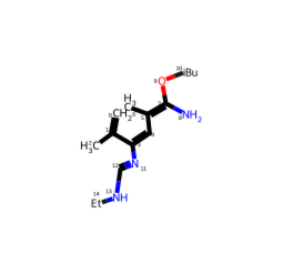 C=C(C)C(=C\C(C)=C(/N)OC(C)CC)/N=C/NCC